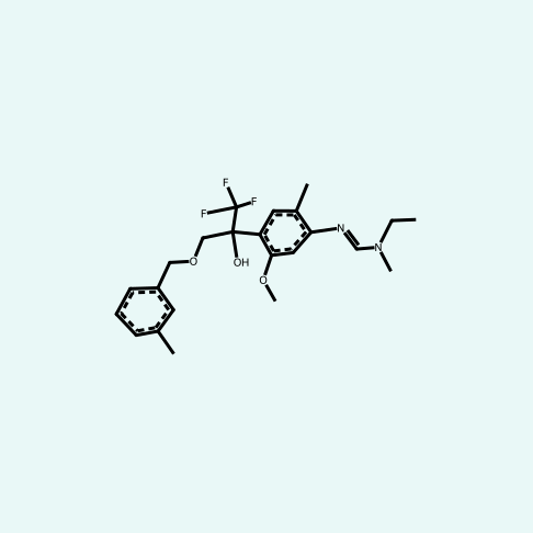 CCN(C)C=Nc1cc(OC)c(C(O)(COCc2cccc(C)c2)C(F)(F)F)cc1C